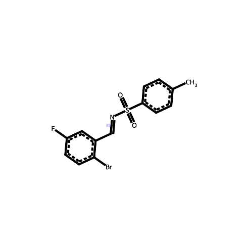 Cc1ccc(S(=O)(=O)/N=C/c2cc(F)ccc2Br)cc1